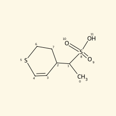 CC(C1C=CSCC1)S(=O)(=O)O